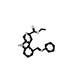 CCOC(=O)c1cc2c(cn1)[nH]c1cccc(C=Nc3ccccc3)c12